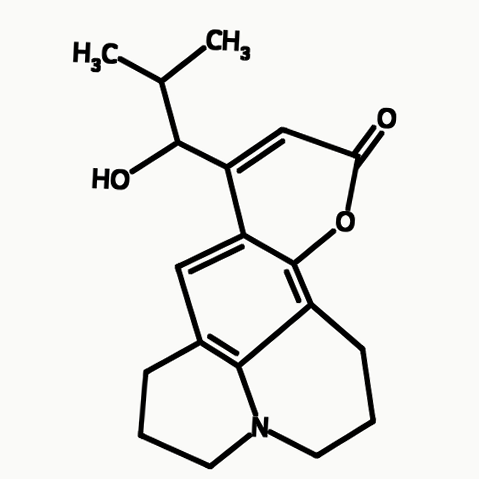 CC(C)C(O)c1cc(=O)oc2c3c4c(cc12)CCCN4CCC3